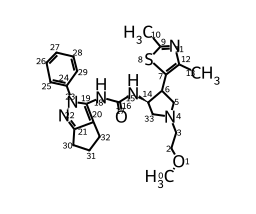 COCCN1CC(c2sc(C)nc2C)[C@H](NC(=O)Nc2c3c(nn2-c2ccccc2)CCC3)C1